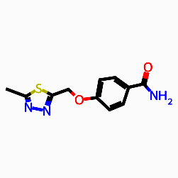 Cc1nnc(COc2ccc(C(N)=O)cc2)s1